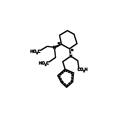 O=C(O)CN(CC(=O)O)[C@H]1CCCC[C@@H]1N(CC(=O)O)Cc1ccccc1